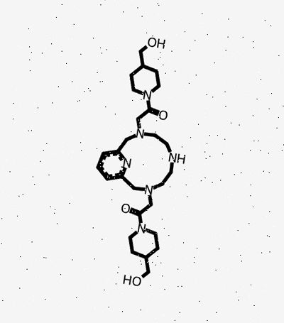 O=C(CN1CCNCCN(CC(=O)N2CCC(CO)CC2)Cc2cccc(n2)C1)N1CCC(CO)CC1